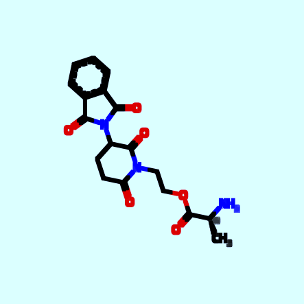 C[C@H](N)C(=O)OCCN1C(=O)CCC(N2C(=O)c3ccccc3C2=O)C1=O